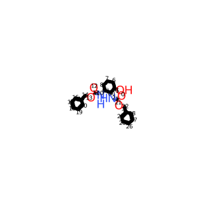 O=C(N[C@@H]1[C@H](O)CCC[C@@H]1NC(=O)OCc1ccccc1)OCc1ccccc1